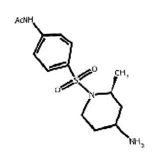 CC(=O)Nc1ccc(S(=O)(=O)N2CCC(N)C[C@@H]2C)cc1